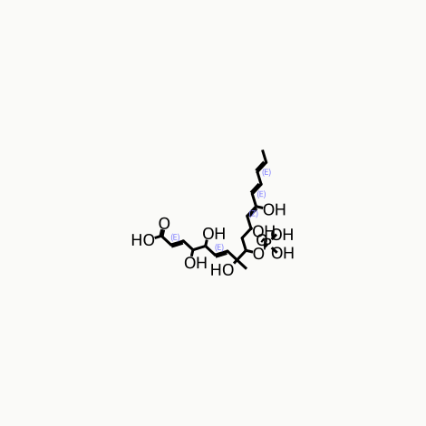 C/C=C/C=C/C(O)=C/C(O)CC(OP(=O)(O)O)C(C)(O)/C=C/C(O)C(O)/C=C/C(=O)O